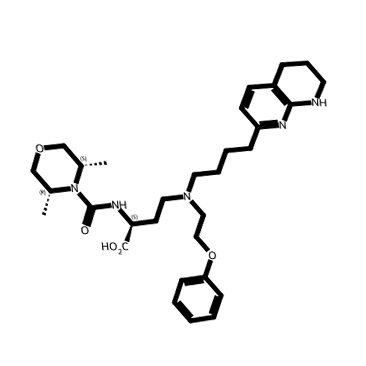 C[C@@H]1COC[C@H](C)N1C(=O)N[C@@H](CCN(CCCCc1ccc2c(n1)NCCC2)CCOc1ccccc1)C(=O)O